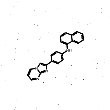 c1ccc2c(Nc3ccc(-c4cn5cccnc5n4)cc3)cccc2c1